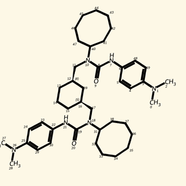 CN(C)c1ccc(NC(=O)N(C[C@@H]2CCC[C@H](CN(C(=O)Nc3ccc(N(C)C)cc3)C3CCCCCCC3)C2)C2CCCCCCC2)cc1